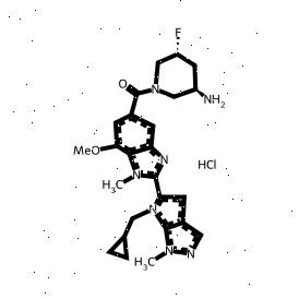 COc1cc(C(=O)N2C[C@H](N)C[C@@H](F)C2)cc2nc(-c3cc4cnn(C)c4n3CC3CC3)n(C)c12.Cl